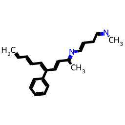 C=C/C=C/C=C(/C=C/C(C)=N/C=C/C/C=N\C)c1ccccc1